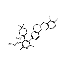 Cc1nc(C)c([C@H](OC(C)(C)C)C(=O)O)c(N2CCC(C)(C)CC2)c1-c1ccc2c(c1)CCN(Cc1c(F)ccc(F)c1F)C2